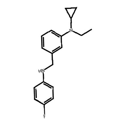 CCN(c1cccc(CNc2ccc(F)cc2)c1)C1CC1